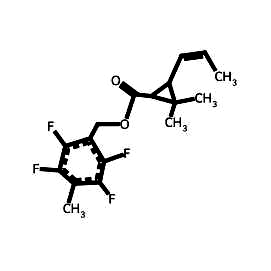 C/C=C\C1C(C(=O)OCc2c(F)c(F)c(C)c(F)c2F)C1(C)C